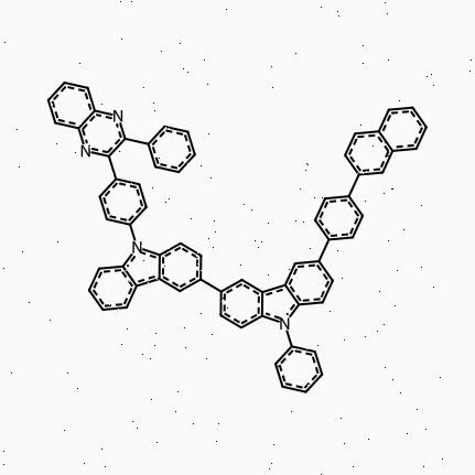 c1ccc(-c2nc3ccccc3nc2-c2ccc(-n3c4ccccc4c4cc(-c5ccc6c(c5)c5cc(-c7ccc(-c8ccc9ccccc9c8)cc7)ccc5n6-c5ccccc5)ccc43)cc2)cc1